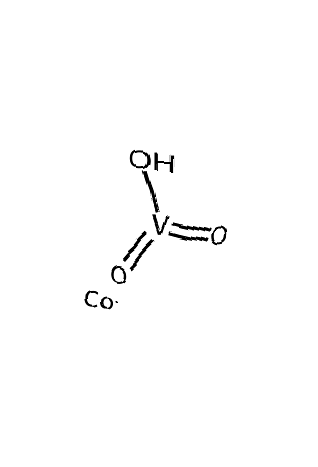 [Co].[O]=[V](=[O])[OH]